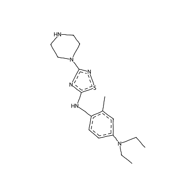 CCN(CC)c1ccc(Nc2nc(N3CCNCC3)ns2)c(C)c1